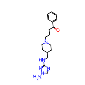 Nn1cnc(NCC2CCN(CCCC(=O)c3ccccc3)CC2)n1